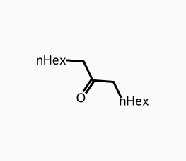 CCCCCCCC(=O)CCCCCCC